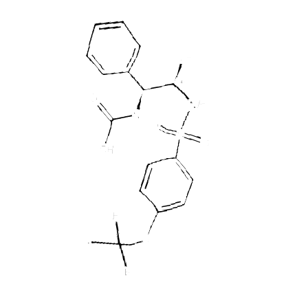 C[C@@H](NS(=O)(=O)c1ccc(OC(F)(F)F)cc1)[C@@H](NC(=O)O)c1ccccc1